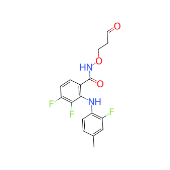 Cc1ccc(Nc2c(C(=O)NOCCC=O)ccc(F)c2F)c(F)c1